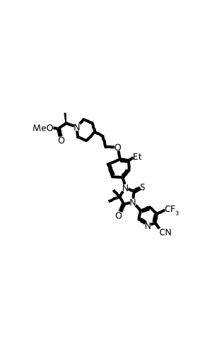 CCc1cc(N2C(=S)N(c3cnc(C#N)c(C(F)(F)F)c3)C(=O)C2(C)C)ccc1OCCC1CCN([C@H](C)C(=O)OC)CC1